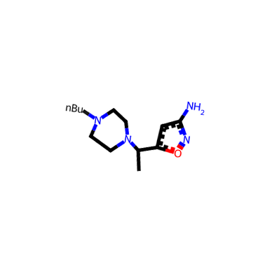 CCCCN1CCN(C(C)c2cc(N)no2)CC1